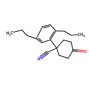 CCCc1ccc(CCC)c(C2(C#N)CCC(=O)CC2)c1